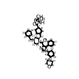 CS(=O)(=O)NC(=O)c1ccc(C[C@@H]2CN(Cc3ccccc3)CCN2C(=O)c2ncn(-c3cccc(N4CCOCC4)c3)c2-c2ccccc2)cc1